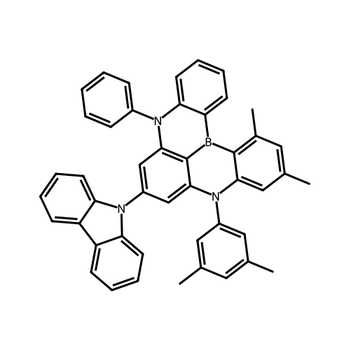 Cc1cc(C)cc(N2c3cc(C)cc(C)c3B3c4ccccc4N(c4ccccc4)c4cc(-n5c6ccccc6c6ccccc65)cc2c43)c1